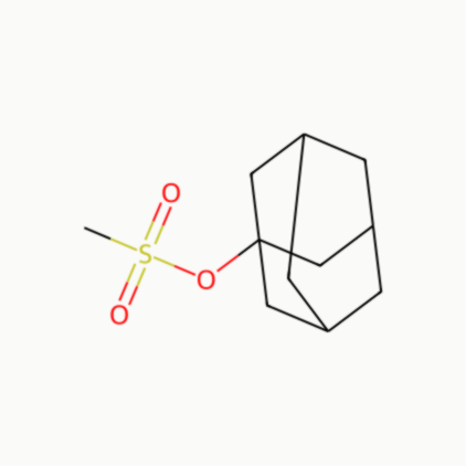 CS(=O)(=O)OC12CC3CC(CC(C3)C1)C2